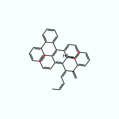 C=C(/C(=C\C=C/C)c1c2ccccc2c(-c2ccccc2-c2ccccc2)c2ccccc12)c1ccccc1S